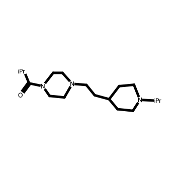 CC(C)C(=O)N1CCN(CCC2CCN(C(C)C)CC2)CC1